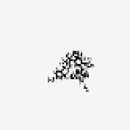 COc1cc(C#N)ccc1C1CCN(C(=O)c2cc(-c3nnc(C)[nH]3)c(C3CCC3)cc2C)CC1